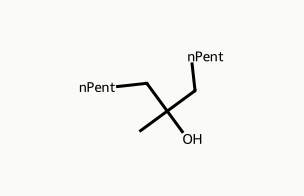 CCCCCCC(C)(O)CCCCCC